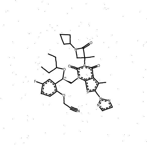 CCC(CC)O[C@@H](Cn1c(=O)n(C2(C)CN(C3CCC3)C2=O)c(=O)c2c(C)c(-n3nccn3)sc21)c1cc(F)ccc1OCC#N